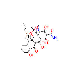 CCCSC[C@@H]1c2cccc(O)c2C(=O)C2=C(O)[C@]3(O)C(=O)C(C(N)=O)=C(O)[C@H](N(C)C)[C@@H]3[C@H](OC(C)=O)[C@H]21